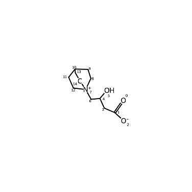 O=C([O-])CC(O)C[N+]12CCC(CC1)CC2